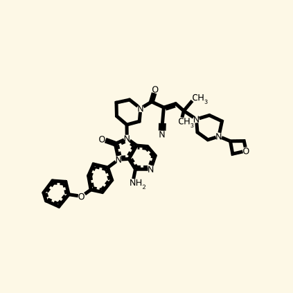 CC(C)(C=C(C#N)C(=O)N1CCCC(n2c(=O)n(-c3ccc(Oc4ccccc4)cc3)c3c(N)nccc32)C1)N1CCN(C2COC2)CC1